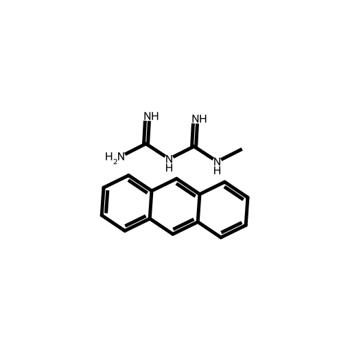 CNC(=N)NC(=N)N.c1ccc2cc3ccccc3cc2c1